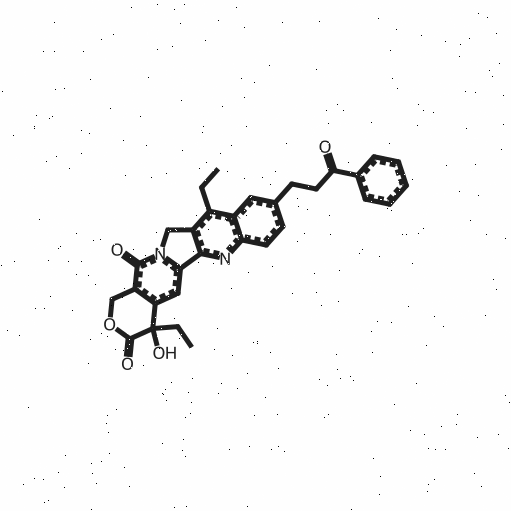 CCc1c2c(nc3ccc(CCC(=O)c4ccccc4)cc13)-c1cc3c(c(=O)n1C2)COC(=O)C3(O)CC